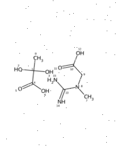 CC(O)(O)C(=O)O.CN(CC(=O)O)C(=N)N